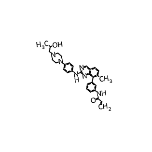 C=CC(=O)Nc1cccc(-c2c(C)ccc3cnc(Nc4ccc(N5CCN(CC(C)O)CC5)cc4)nc23)c1